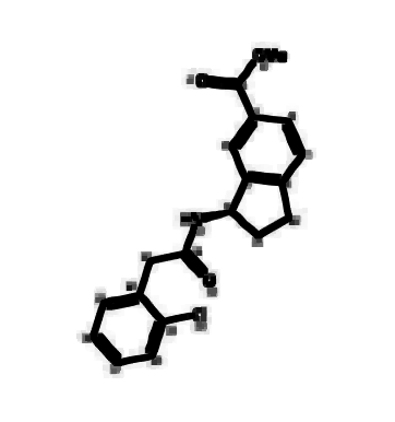 COC(=O)c1ccc2c(c1)[C@H](NC(=O)Cc1ccccc1Cl)CC2